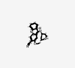 COc1cc2c(NC3CCNCC3)c3ccccc3nc2cc1C#N